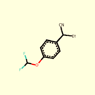 CCC(C#N)c1ccc(OC(F)F)cc1